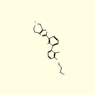 Cc1c(OCCCBr)cccc1-c1cccc(-c2nc3c(s2)CN(C(=O)O)CC3)c1C(F)(F)F